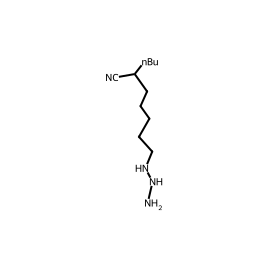 CCCCC(C#N)CCCCCNNN